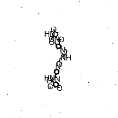 COc1cc(OC)c2c(=O)[nH]c(-c3ccc(N4CCC(CN[C@@H]5CCCN(c6ccc7c(c6)C(=O)N(C6CCC(=O)NC6=O)C7=O)C5)CC4)cc3)nc2c1